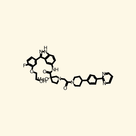 CO[C@@]1(C(=O)Nc2ccc3[nH]nc(-c4ccc(F)c(OCCO)c4)c3c2)CCN(CC(=O)N2CCC(c3ccc(-c4ncccn4)cc3)CC2)C1